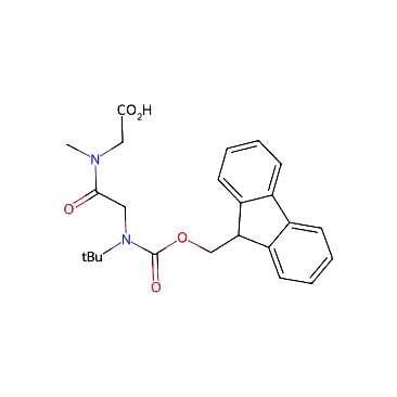 CN(CC(=O)O)C(=O)CN(C(=O)OCC1c2ccccc2-c2ccccc21)C(C)(C)C